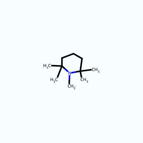 [CH2]N1C(C)(C)CCCC1(C)C